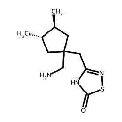 C[C@H]1CC(CN)(Cc2nsc(=O)[nH]2)C[C@@H]1C